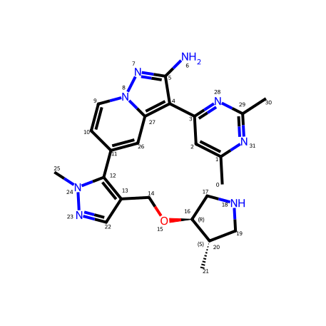 Cc1cc(-c2c(N)nn3ccc(-c4c(CO[C@H]5CNC[C@@H]5C)cnn4C)cc23)nc(C)n1